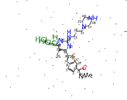 CNC(=O)c1ccc2cc(-c3nc(NCCCN4CCNCC4)ncc3C)sc2c1.Cl.Cl.Cl